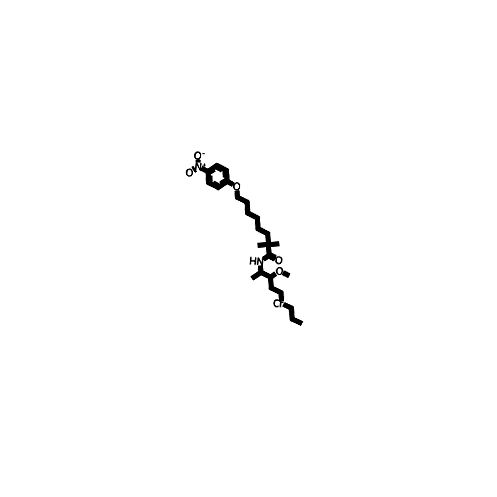 CC[CH2][Cr][CH2]CC(OC)C(C)NC(=O)C(C)(C)CCCCCCOc1ccc([N+](=O)[O-])cc1